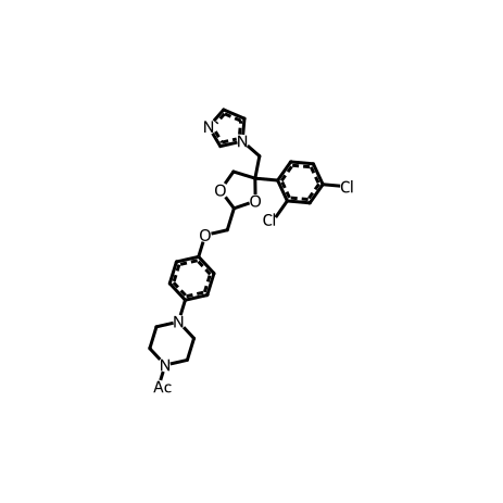 CC(=O)N1CCN(c2ccc(OCC3OCC(Cn4ccnc4)(c4ccc(Cl)cc4Cl)O3)cc2)CC1